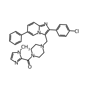 Cn1ccnc1C(=O)N1CCN(Cc2c(-c3ccc(Cl)cc3)nc3ccc(-c4ccccc4)cn23)CC1